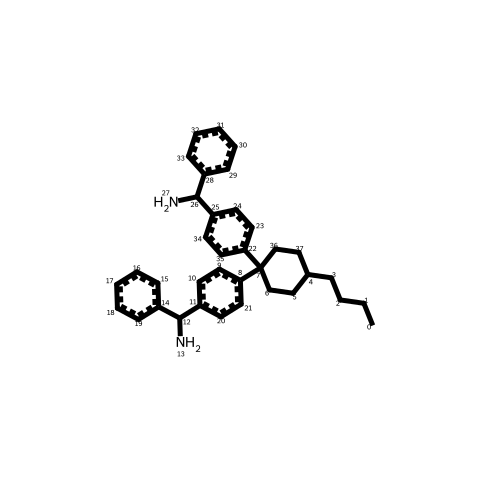 CCCCC1CCC(c2ccc(C(N)c3ccccc3)cc2)(c2ccc(C(N)c3ccccc3)cc2)CC1